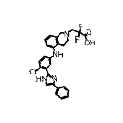 O=C(O)C(F)(F)CN1CCc2c(cccc2Nc2ccc(Cl)c(-c3nc(-c4ccccc4)c[nH]3)c2)C1